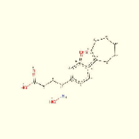 O=C(O)CCC(=NO)c1ccc2c3c(oc2c1)CCCCC3